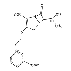 COc1ccc[n+](CCSC2=C(C(=O)[O-])N3C(=O)C([C@@H](C)O)C3C2)c1